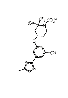 Cc1cnc(-c2cc(C#N)cc(OC3CCN(C(=O)O)C(C(C)(C)C)(C(F)(F)F)C3)c2)s1